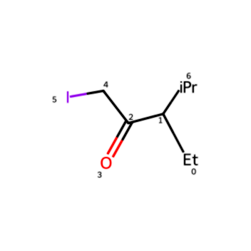 CCC(C(=O)CI)C(C)C